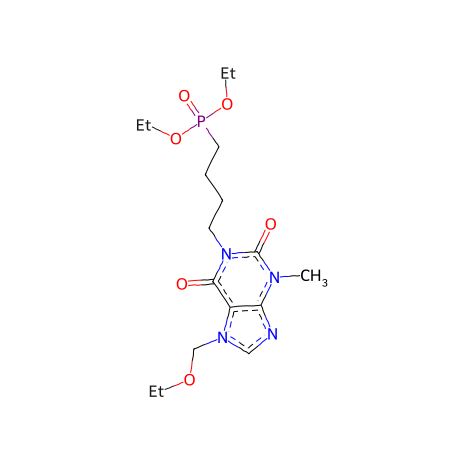 CCOCn1cnc2c1c(=O)n(CCCCP(=O)(OCC)OCC)c(=O)n2C